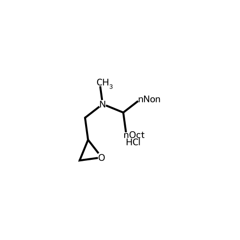 CCCCCCCCCC(CCCCCCCC)N(C)CC1CO1.Cl